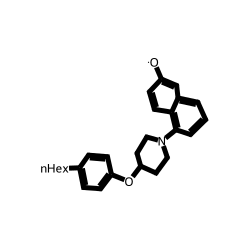 CCCCCCc1ccc(OC2CCN(c3cccc4cc([O])ccc34)CC2)cc1